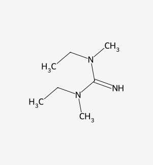 CCN(C)C(=N)N(C)CC